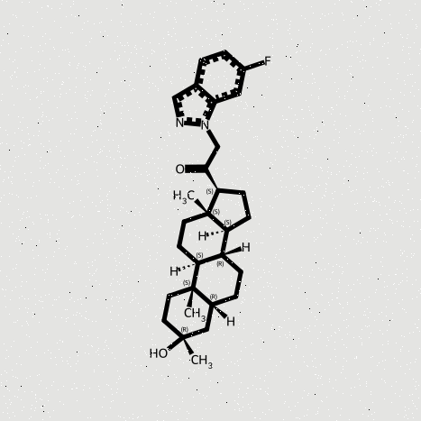 C[C@@]1(O)CC[C@@]2(C)[C@H](CC[C@@H]3[C@@H]2CC[C@]2(C)[C@@H](C(=O)Cn4ncc5ccc(F)cc54)CC[C@@H]32)C1